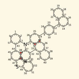 c1ccc(N(c2ccc(-c3ccc(-c4cccc5ccccc45)cc3)cc2)c2ccccc2-c2cccc3ccccc23)c(-c2ccc3sc4ccccc4c3c2)c1